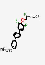 CCCCCCCC[C@@H](F)COc1c(F)cc(-c2ccc([C@H]3CC[Si@H](CCCCC)CC3)cc2)cc1F